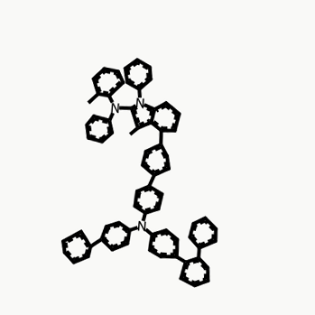 Cc1ccccc1N(c1ccccc1)c1c(C)c2c(-c3ccc(-c4ccc(N(c5ccc(-c6ccccc6)cc5)c5ccc(-c6ccccc6-c6ccccc6)cc5)cc4)cc3)cccc2n1-c1ccccc1